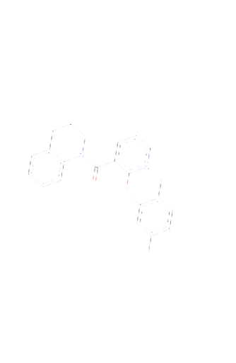 Cc1ccc(Cl)cc1Oc1ncccc1C(=O)N1CCCc2ccccc21